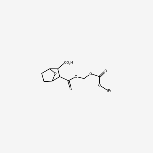 CC(C)OC(=O)OCOC(=O)C1C2CCC(O2)C1C(=O)O